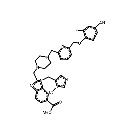 CCn1cncc1Cn1c(CN2CCN(Cc3cccc(COc4ccc(C#N)cc4F)n3)CC2)nc2ccc(C(=O)OC)cc21